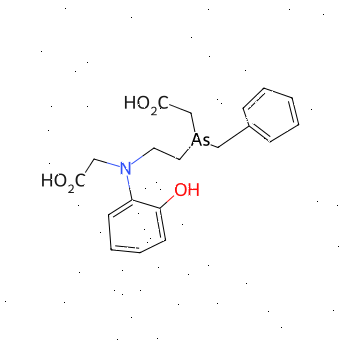 O=C(O)CN(CC[As](CC(=O)O)Cc1ccccc1)c1ccccc1O